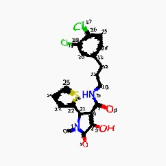 CN1C(=O)C(O)=C(C(=O)NCCCc2ccc(Cl)c(Cl)c2)C1c1cccs1